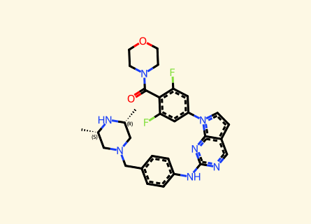 C[C@@H]1CN(Cc2ccc(Nc3ncc4ccn(-c5cc(F)c(C(=O)N6CCOCC6)c(F)c5)c4n3)cc2)C[C@H](C)N1